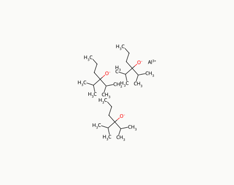 CCCC([O-])(C(C)C)C(C)C.CCCC([O-])(C(C)C)C(C)C.CCCC([O-])(C(C)C)C(C)C.[Al+3]